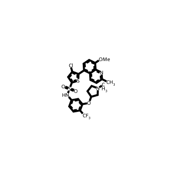 COc1ccc(-c2sc(S(=O)(=O)Nc3ccc(C(F)(F)F)c(OC4CCN(C)C4)c3)cc2Cl)c2ccc(C)nc12